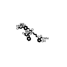 COC(=O)c1c(O)cccc1OCCCCNC(=O)[C@H](Cc1ccc(C2CC(=O)NS2(O)O)cc1)NC(=O)C1(Cc2ccccc2)CCC(=O)N1